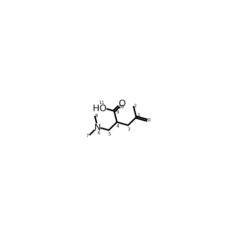 C=C(C)CC(CN(C)C)C(=O)O